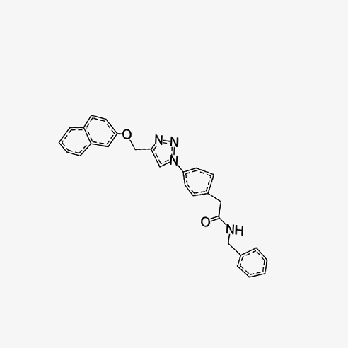 O=C(Cc1ccc(-n2cc(COc3ccc4ccccc4c3)nn2)cc1)NCc1ccccc1